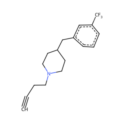 C#CCCN1CCC(Cc2cccc(C(F)(F)F)c2)CC1